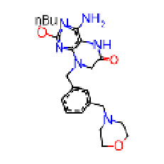 CCCCOc1nc(N)c2c(n1)N(Cc1cccc(CN3CCOCC3)c1)CC(=O)N2